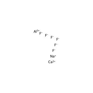 [Al+3].[Ca+2].[F-].[F-].[F-].[F-].[F-].[F-].[Na+]